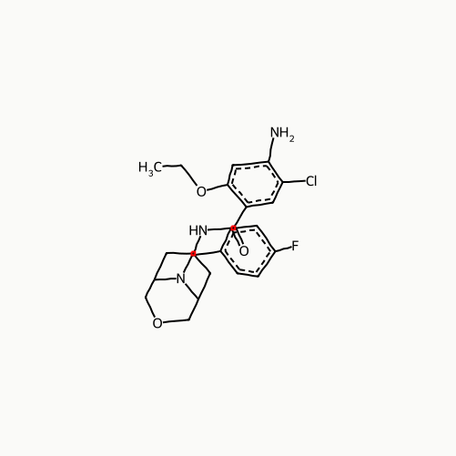 CCOc1cc(N)c(Cl)cc1C(=O)NC1CC2COCC(C1)N2Cc1ccc(F)cc1